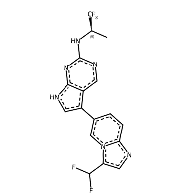 C[C@@H](Nc1ncc2c(-c3ccc4ncc(C(F)F)n4c3)c[nH]c2n1)C(F)(F)F